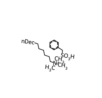 CCCCCCCCCCCCCCCC[N+](C)(C)C.O=S(=O)(O)Cc1ccccc1